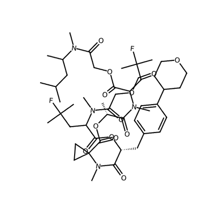 CC(C)CC(C)N(C)C(=O)COC(=O)C(CC(C)(C)F)N(C)C(=O)[C@@H](C)OC(=O)C1(N(C)C(=O)[C@@H](Cc2ccc(C3CCOCC3)cc2)OC(=O)C(CC(C)(C)F)N(C)C(=O)COC=O)CC1